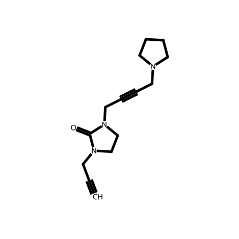 C#CCN1CCN(CC#CCN2CCCC2)C1=O